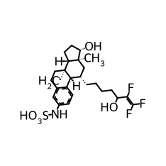 C=C[C@@]12CCc3cc(NS(=O)(=O)O)ccc3[C@H]1[C@@H](CCCCC(O)C(F)=C(F)F)C[C@@]1(C)[C@H]2CC[C@@H]1O